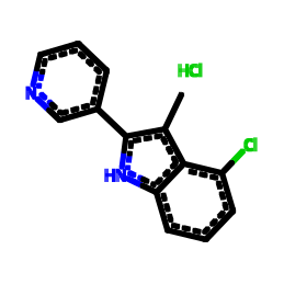 Cc1c(-c2cccnc2)[nH]c2cccc(Cl)c12.Cl